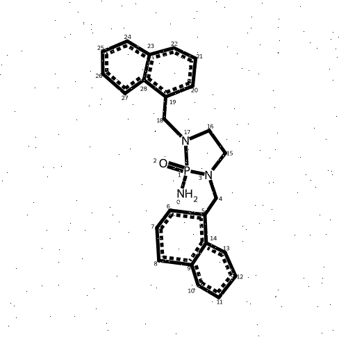 NP1(=O)N(Cc2cccc3ccccc23)CCN1Cc1cccc2ccccc12